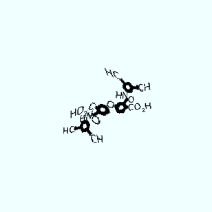 C#Cc1cc(C#C)cc(NC(=O)c2ccc(Oc3ccc(C(=O)O)c(C(=O)Nc4cc(C#C)cc(C#C)c4)c3)cc2C(=O)O)c1